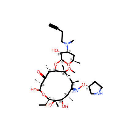 C#CCCN(C)[C@H]1C[C@@H](C)O[C@@H](O[C@@H]2[C@@H](C)C(=O)[C@@H](C)C(O)O[C@H](CC)[C@@](C)(O)[C@H](O)[C@@H](C)/C(=N/O[C@@H]3CCNC3)[C@H](C)C[C@@]2(C)OC)[C@@H]1O